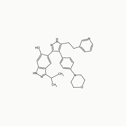 CC(C)c1n[nH]c2cc(O)c(-c3n[nH]c(CCc4cccnc4)c3-c3ccc(N4CCOCC4)cc3)cc12